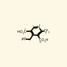 CC(C)Cc1c(C(=O)O)cnc(C(F)(F)F)c1C(=O)O